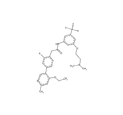 CCOc1cc(C)ncc1-c1ccc(CC(=O)Nc2cc(OCCN(C)C)cc(C(F)(F)F)c2)c(F)c1